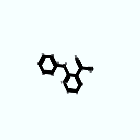 [NH]C(=O)c1cccnc1Oc1ccccc1